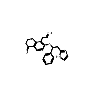 C=CCc1c(OC(Cc2ncc[nH]2)c2ccccc2)ccc2c1CCCC2=O